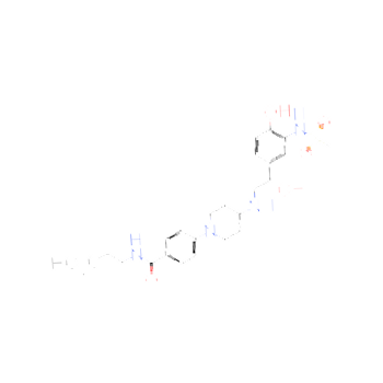 CS(=O)(=O)Nc1cc([C@H](O)CNC2CCN(c3ccc(C(=O)NCCC(=O)O)cc3)CC2)ccc1O